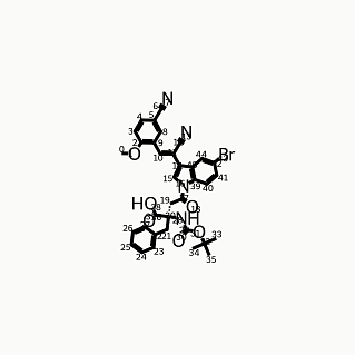 COc1ccc(C#N)cc1C=C(C#N)c1cn(C(=O)C[C@@](Cc2ccccc2)(NC(=O)OC(C)(C)C)C(=O)O)c2ccc(Br)cc12